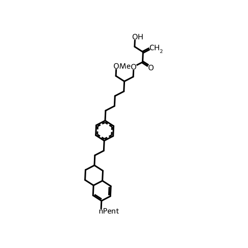 C=C(CO)C(=O)OCC(CCCCc1ccc(CCC2CCC3C=C(CCCCC)C=CC3C2)cc1)COC